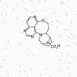 O=C(O)N1C2CCC1C1CCOc3nccc4ncnc(c34)N1C2